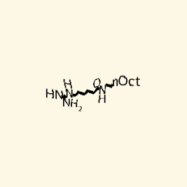 CCCCCCCCCCNC(=O)CCCCCNC(=N)N